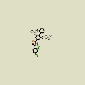 O=C(O)c1cc(-c2nc(-c3ccc(Cl)cc3Cl)cs2)ccc1-c1ccccc1[N+](=O)[O-]